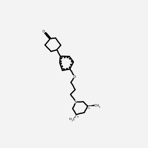 C[C@H]1C[C@H](C)CN(CCCOc2ccc(C3CCC(=O)CC3)cc2)C1